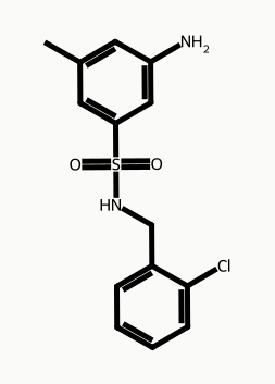 Cc1cc(N)cc(S(=O)(=O)NCc2ccccc2Cl)c1